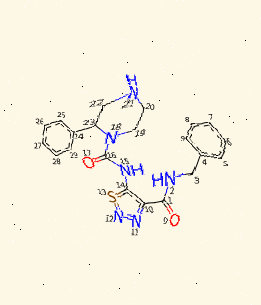 O=C(NCc1ccccc1)c1nnsc1NC(=O)N1CCNCC1c1ccccc1